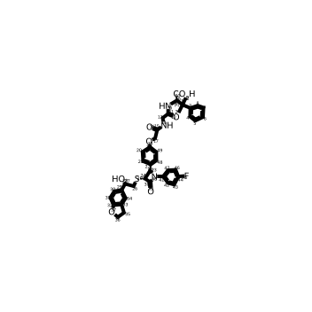 CC(C)(c1ccccc1)[C@@H](NC(=O)CNC(=O)COc1ccc([C@@H]2[C@@H](SCC(O)c3ccc4c(c3)CCO4)C(=O)N2c2ccc(F)cc2)cc1)C(=O)O